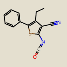 CCc1c(-c2ccccc2)sc(N=C=O)c1C#N